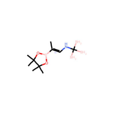 BC(B)(B)N/C=C(\C)B1OC(C)(C)C(C)(C)O1